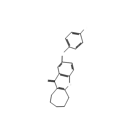 O=c1c2c([nH]c3ccc(Oc4ccc(Cl)cc4)cc13)CCCCC2